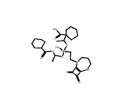 CC(OC(=O)C1CCCCC1)O[PH](O)(CCN1CCCNc2c1c(=O)c2=O)OC(C)C1(C(=O)O)CCCCC1